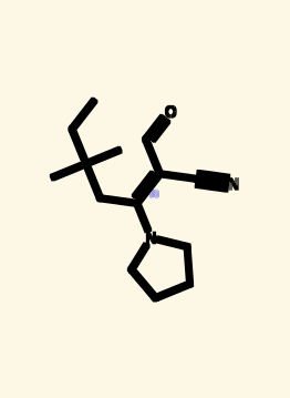 CCC(C)(C)C/C(=C(/C#N)C=O)N1CCCC1